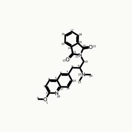 COc1ccc2cc(CC(CN3C(=O)c4ccccc4C3=O)N(C)C)ccc2n1